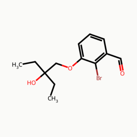 CCC(O)(CC)COc1cccc(C=O)c1Br